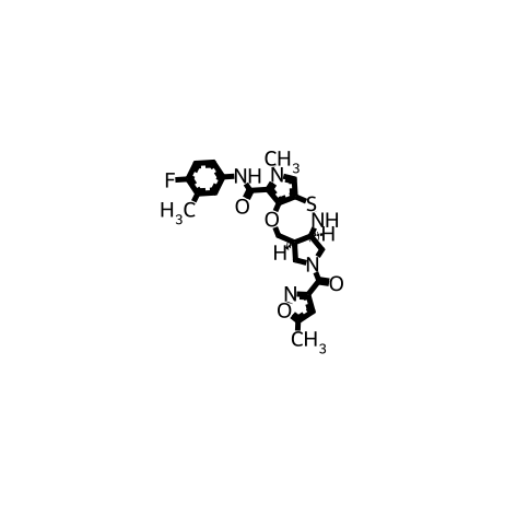 Cc1cc(C(=O)N2C[C@H]3COc4c(cn(C)c4C(=O)Nc4ccc(F)c(C)c4)SN[C@H]3C2)no1